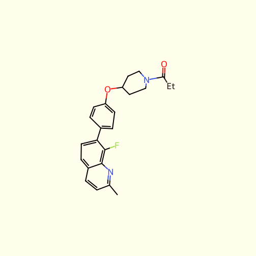 CCC(=O)N1CCC(Oc2ccc(-c3ccc4ccc(C)nc4c3F)cc2)CC1